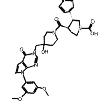 COc1cc(OC)cc(-n2ccc3c(=O)n(CC4(O)CCN(C(=O)[C@@H]5CCN(C(=O)O)C[C@H]5c5ccccc5)CC4)cnc32)c1